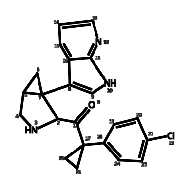 O=C(C1NCC2CC21c1c[nH]c2ncccc12)C1(c2ccc(Cl)cc2)CC1